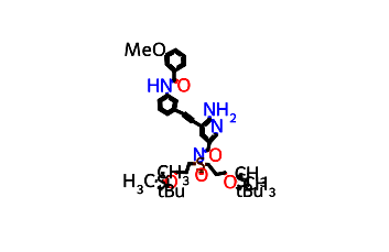 COc1cccc(C(=O)Nc2cccc(C#Cc3cc(C(=O)N=S(=O)(CCCO[Si](C)(C)C(C)(C)C)CCCO[Si](C)(C)C(C)(C)C)cnc3N)c2)c1